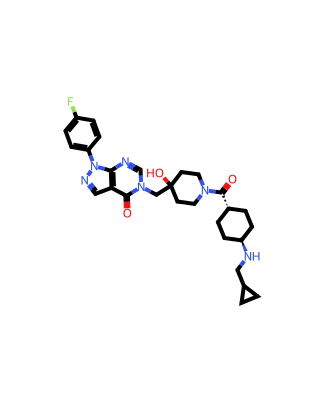 O=c1c2cnn(-c3ccc(F)cc3)c2ncn1CC1(O)CCN(C(=O)[C@H]2CC[C@H](NCC3CC3)CC2)CC1